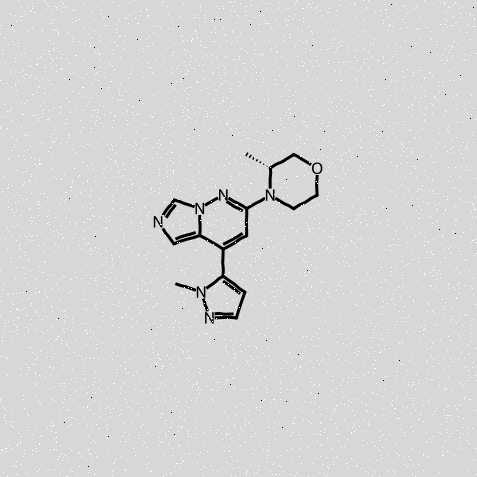 C[C@@H]1COCCN1c1cc(-c2ccnn2C)c2cncn2n1